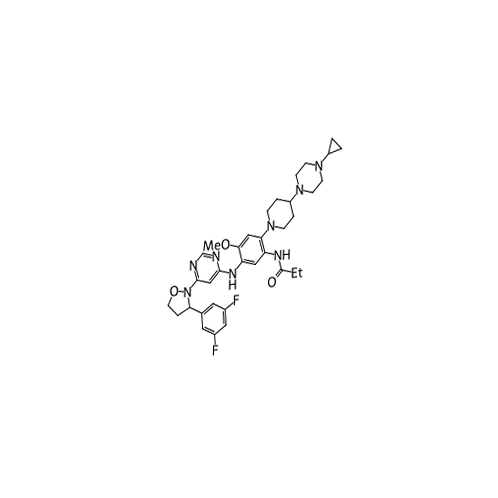 CCC(=O)Nc1cc(Nc2cc(N3OCCC3c3cc(F)cc(F)c3)ncn2)c(OC)cc1N1CCC(N2CCN(C3CC3)CC2)CC1